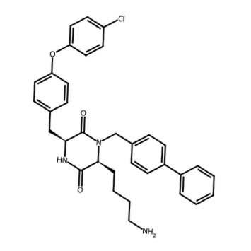 NCCCC[C@H]1C(=O)N[C@@H](Cc2ccc(Oc3ccc(Cl)cc3)cc2)C(=O)N1Cc1ccc(-c2ccccc2)cc1